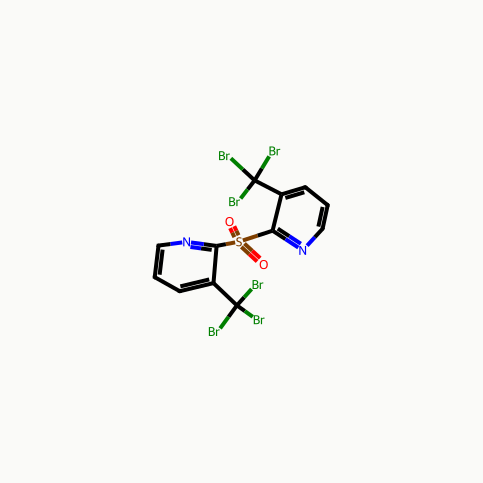 O=S(=O)(c1ncccc1C(Br)(Br)Br)c1ncccc1C(Br)(Br)Br